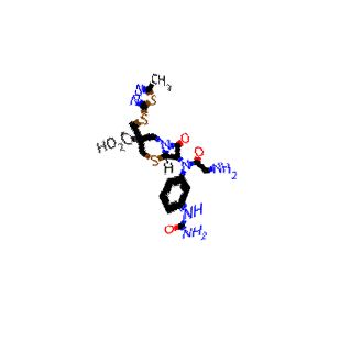 Cc1nnc(SCC2(C(=O)O)CS[C@@H]3C(N(C(=O)CN)c4cccc(NC(N)=O)c4)C(=O)N3C2)s1